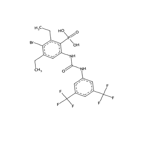 CCc1cc(NC(=O)Nc2cc(C(F)(F)F)cc(C(F)(F)F)c2)c(P(=O)(O)O)c(CC)c1Br